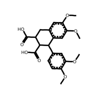 COc1ccc(C2c3cc(OC)c(OC)cc3CC(C(=O)O)C2C(=O)O)cc1OC